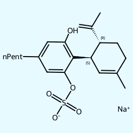 C=C(C)[C@@H]1CCC(C)=C[C@H]1c1c(O)cc(CCCCC)cc1OS(=O)(=O)[O-].[Na+]